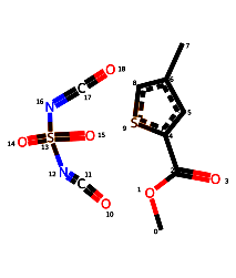 COC(=O)c1cc(C)cs1.O=C=NS(=O)(=O)N=C=O